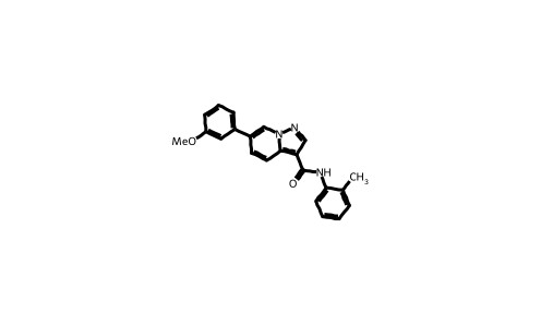 COc1cccc(-c2ccc3c(C(=O)Nc4ccccc4C)cnn3c2)c1